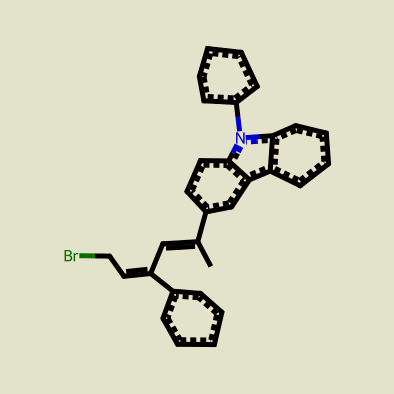 C/C(=C\C(=C/CBr)c1ccccc1)c1ccc2c(c1)c1ccccc1n2-c1ccccc1